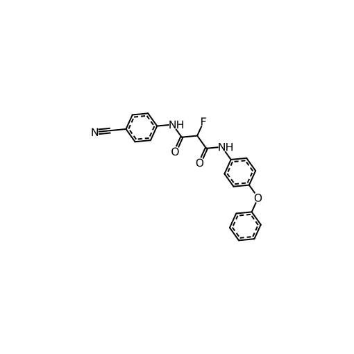 N#Cc1ccc(NC(=O)C(F)C(=O)Nc2ccc(Oc3ccccc3)cc2)cc1